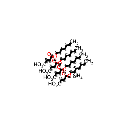 C=CCCCCCOC(=O)/C=C/C(=O)O.C=CCCCCCOC(=O)/C=C/C(=O)O.C=CCCCCCOC(=O)/C=C/C(=O)O.C=CCCCCCOC(=O)/C=C/C(=O)O.[SiH4]